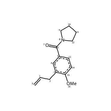 C=CCc1cc(C(=O)N2CCCC2)ccc1OC